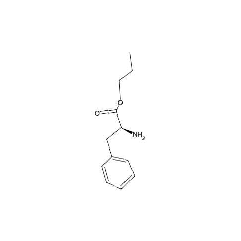 CCCOC(=O)[C@@H](N)Cc1ccccc1